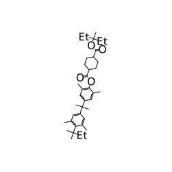 CCC(C)(CC)OC(=O)C1CCC(C(=O)Oc2c(C)cc(C(C)(C)c3cc(C)c(C(C)(C)CC)c(C)c3)cc2C)CC1